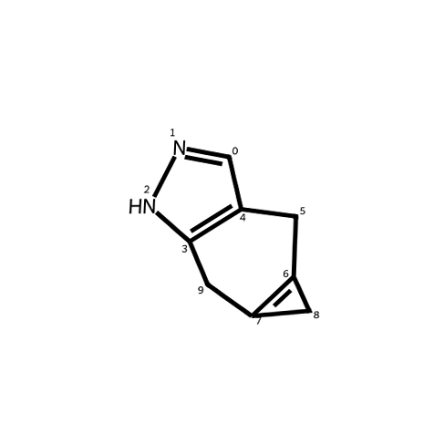 c1n[nH]c2c1CC1=C(C1)C2